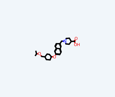 CC(C)OCC1CCC(Oc2ccc3cc(CN4CCC(C(=O)O)CC4)ccc3c2)CC1